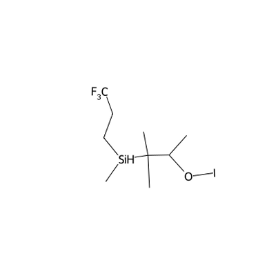 CC(OI)C(C)(C)[SiH](C)CCC(F)(F)F